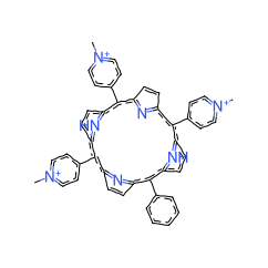 C[n+]1ccc(-c2c3nc(c(-c4cc[n+](C)cc4)c4ccc([nH]4)c(-c4cc[n+](C)cc4)c4nc(c(-c5ccccc5)c5ccc2[nH]5)C=C4)C=C3)cc1